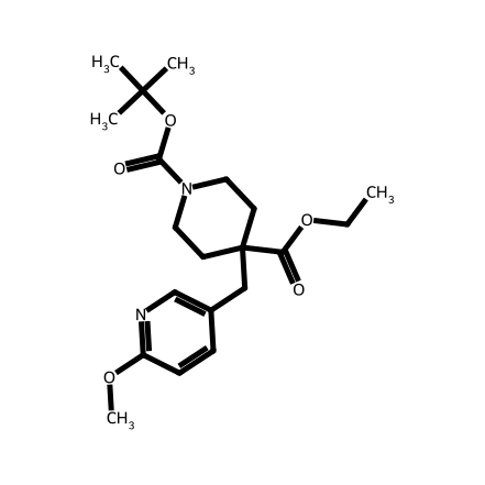 CCOC(=O)C1(Cc2ccc(OC)nc2)CCN(C(=O)OC(C)(C)C)CC1